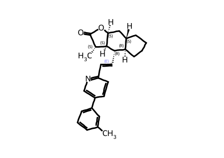 Cc1cccc(-c2ccc(/C=C/[C@H]3[C@@H]4CCCC[C@H]4C[C@@H]4OC(=O)[C@@H](C)[C@H]34)nc2)c1